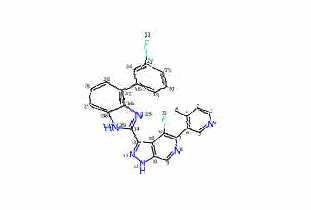 Cc1ccncc1-c1ncc2[nH]nc(-c3nc4c(-c5cccc(F)c5)cccc4[nH]3)c2c1F